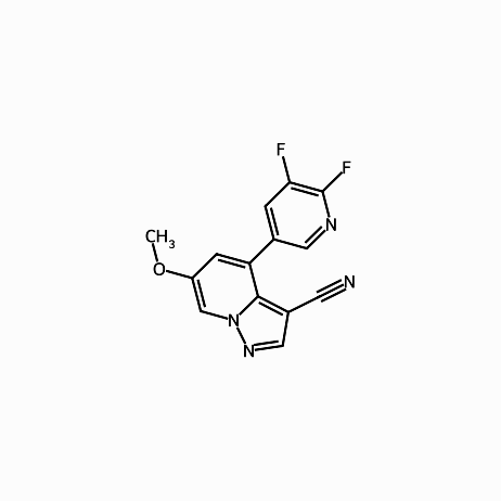 COc1cc(-c2cnc(F)c(F)c2)c2c(C#N)cnn2c1